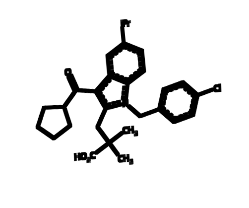 CC(C)c1ccc2c(c1)c(C(=O)C1CCCC1)c(CC(C)(C)C(=O)O)n2Cc1ccc(Cl)cc1